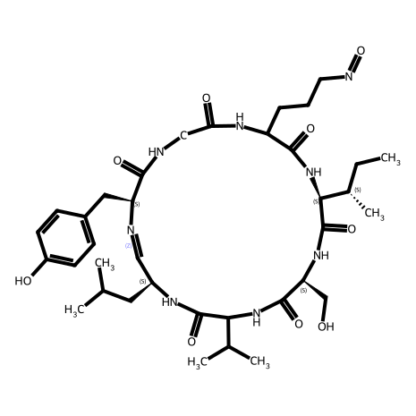 CC[C@H](C)[C@@H]1NC(=O)C(CCCN=O)NC(=O)CNC(=O)[C@H](Cc2ccc(O)cc2)/N=C\[C@H](CC(C)C)NC(=O)C(C(C)C)NC(=O)[C@H](CO)NC1=O